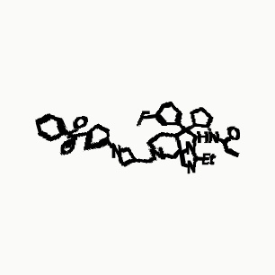 C=CC(=O)N[C@H]1CCC[C@@H]1C(Cn1ccnc1CC)(c1cccc(F)c1)C1CCN(CC2CN(c3ccc(S(=O)(=O)c4ccccc4)cc3)C2)CC1